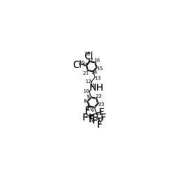 FC(F)(F)C(F)(c1ccc(CNCCc2ccc(Cl)c(Cl)c2)cc1)C(F)(F)F